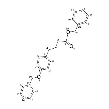 O=C(CCCc1ccc(OCc2ccccc2)cc1)OCc1ccccc1